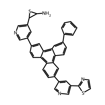 NC1SC1c1cncc(-c2ccc3c4ccc(-c5cncc(-c6nccs6)c5)cc4c4ccc(-c5ccccc5)cc4c3c2)c1